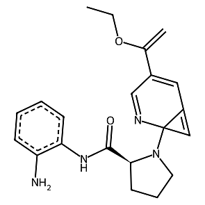 C=C(OCC)C1=CC2=CC2(N2CCC[C@H]2C(=O)Nc2ccccc2N)N=C1